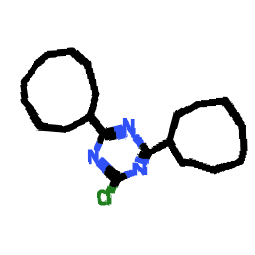 Clc1nc(C2CCCCCCCCC2)nc(C2CCCCCCC2)n1